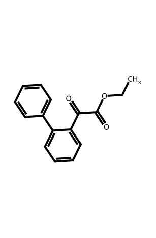 CCOC(=O)C(=O)c1ccccc1-c1ccccc1